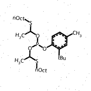 CCCCCCCCSC(C)OP(Oc1ccc(C)cc1C(C)(C)C)OC(C)SCCCCCCCC